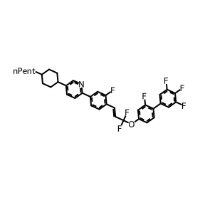 CCCCCC1CCC(c2ccc(-c3ccc(/C=C/C(F)(F)Oc4ccc(-c5cc(F)c(F)c(F)c5)c(F)c4)c(F)c3)nc2)CC1